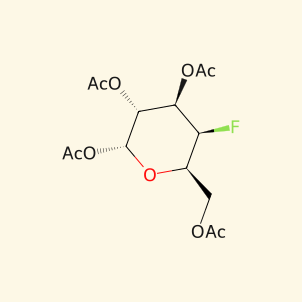 CC(=O)OC[C@H]1O[C@H](OC(C)=O)[C@H](OC(C)=O)[C@@H](OC(C)=O)[C@H]1F